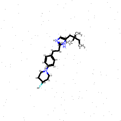 CCC(C)(C)Cc1cnc(CCc2ccc(N3CCC(F)CC3)cc2)[nH]1